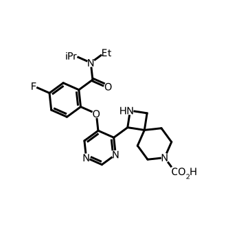 CCN(C(=O)c1cc(F)ccc1Oc1cncnc1C1NCC12CCN(C(=O)O)CC2)C(C)C